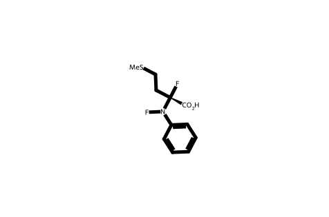 CSCC[C@@](F)(C(=O)O)N(F)c1ccccc1